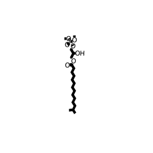 COP(=O)(OC)OCC(O)COC(=O)CCCCCCCCCCCC(C)C